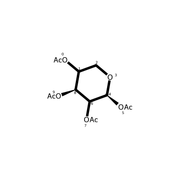 CC(=O)OC1CO[C@@H](OC(C)=O)C(OC(C)=O)[C@H]1OC(C)=O